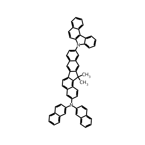 CC1(C)c2cc3cc(-n4c5ccccc5c5c6ccccc6ccc54)ccc3cc2-c2ccc3cc(N(c4ccc5ccccc5c4)c4ccc5ccccc5c4)ccc3c21